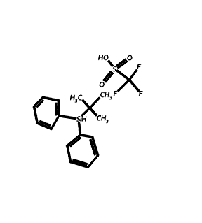 CC(C)(C)[SiH](c1ccccc1)c1ccccc1.O=S(=O)(O)C(F)(F)F